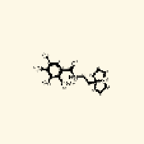 CCCc1c(N)c(Cl)cc(C(=O)NCCC23CCCN2CCC3)c1OC